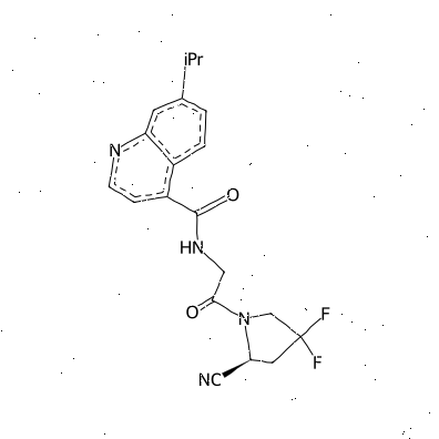 CC(C)c1ccc2c(C(=O)NCC(=O)N3CC(F)(F)C[C@H]3C#N)ccnc2c1